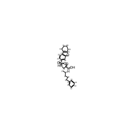 O=C(NO)[C@H](CCCCCc1ccccc1)NS(=O)(=O)c1ccc2c3c(oc2c1)CCCC3